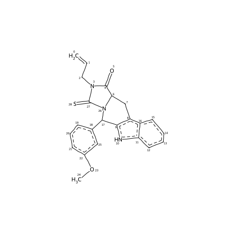 C=CCN1C(=O)C2Cc3c([nH]c4ccccc34)C(c3cccc(OC)c3)N2C1=S